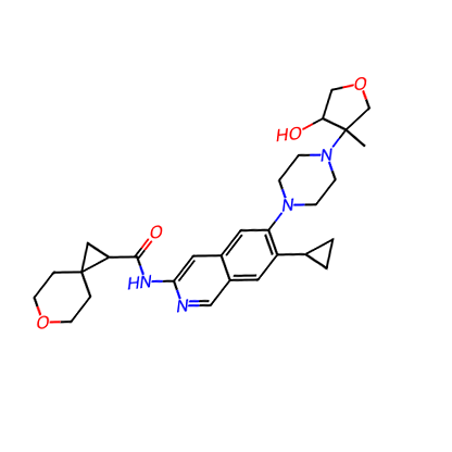 CC1(N2CCN(c3cc4cc(NC(=O)C5CC56CCOCC6)ncc4cc3C3CC3)CC2)COCC1O